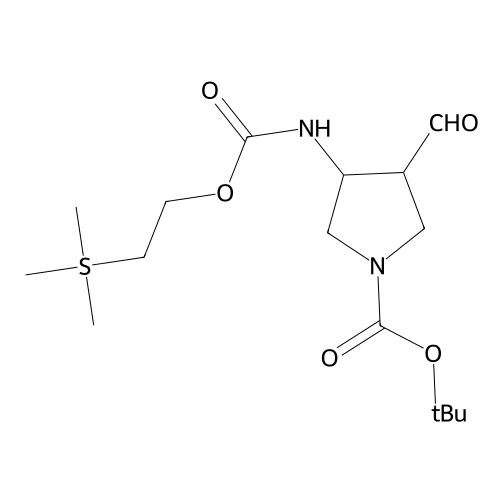 CC(C)(C)OC(=O)N1CC(C=O)C(NC(=O)OCCS(C)(C)C)C1